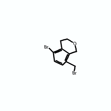 BrCc1ccc(Br)c2c1COCC2